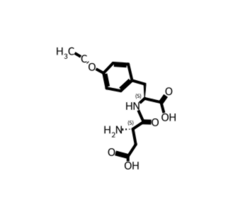 CCOc1ccc(C[C@H](NC(=O)[C@@H](N)CC(=O)O)C(=O)O)cc1